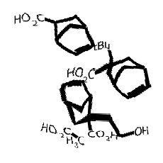 CC(=O)O.CC(C)(C)C1(C(=O)O)CC2C=CC1C2.O=C(O)C1(CCO)CC2C=CC1C2.O=C(O)C1CC2C=CC1C2